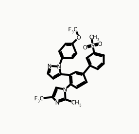 Cc1nc(C(F)(F)F)cn1-c1ccc(-c2cccc(S(C)(=O)=O)c2)cc1-c1ccnn1-c1ccc(OC(F)(F)F)cc1